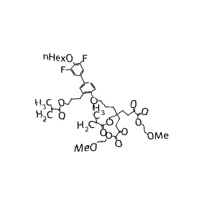 C=C(C)C(=O)OCCCc1cc(-c2cc(F)c(OCCCCCC)c(F)c2)ccc1OCCCC(CCC(=O)C(=O)OCCOC)(CCC(=O)C(=O)OCCOC)COC(=O)C(=C)C